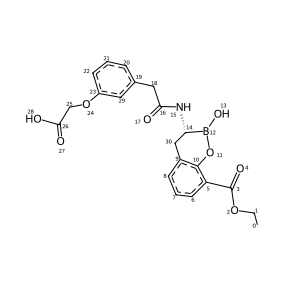 CCOC(=O)c1cccc2c1OB(O)[C@@H](NC(=O)Cc1cccc(OCC(=O)O)c1)C2